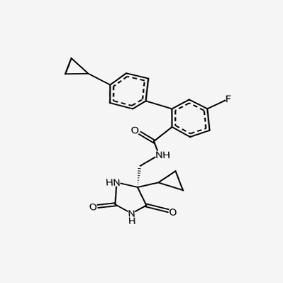 O=C1NC(=O)[C@](CNC(=O)c2ccc(F)cc2-c2ccc(C3CC3)cc2)(C2CC2)N1